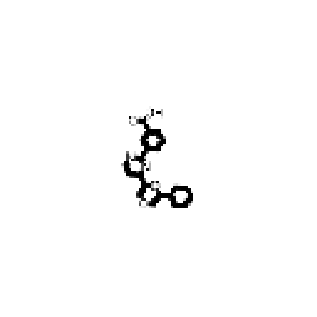 O=C(O)c1cccc(-c2nccc(C3=COC=C(C4=CC=CCC4)O3)n2)c1